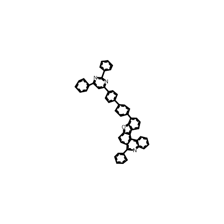 c1ccc(-c2cc(-c3ccc(-c4ccc(-c5cccc6c5oc5ccc7c(-c8ccccc8)nc8ccccc8c7c56)cc4)cc3)nc(-c3ccccc3)n2)cc1